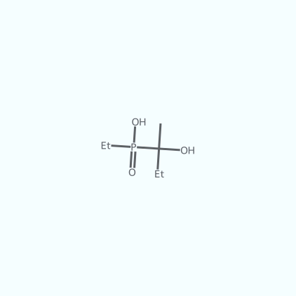 CCC(C)(O)P(=O)(O)CC